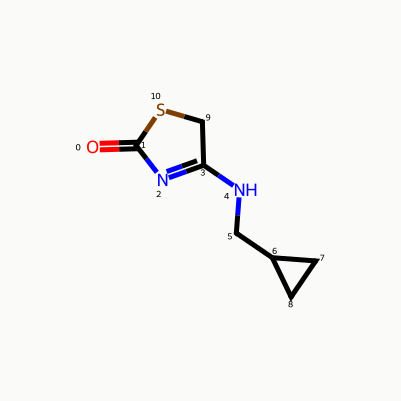 O=C1N=C(NCC2CC2)CS1